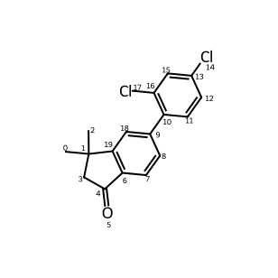 CC1(C)CC(=O)c2ccc(-c3ccc(Cl)cc3Cl)cc21